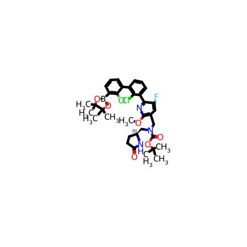 COc1nc(-c2cccc(-c3cccc(B4OC(C)(C)C(C)(C)O4)c3Cl)c2Cl)c(F)cc1CN(C[C@@H]1CCC(=O)N1)C(=O)OC(C)(C)C